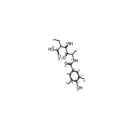 CCC(C(=N)C(=O)C(C)NC(=O)c1cc(C)c(O)c(C)c1)C(=O)O